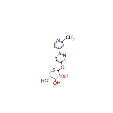 Cc1cc(-c2ccc(O[C@@H]3SC[C@@H](O)[C@H](O)[C@H]3O)cn2)ccn1